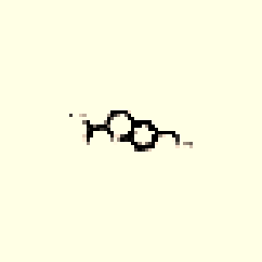 CCCC(=O)C1CCc2cc(CO)ccc2O1